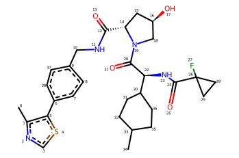 Cc1ncsc1-c1ccc(CNC(=O)[C@@H]2C[C@@H](O)CN2C(=O)[C@@H](NC(=O)C2(F)CC2)C2CCC(C)CC2)cc1